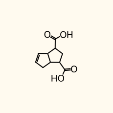 O=C(O)C1CC(C(=O)O)C2CC=CC12